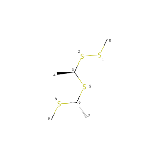 CSS[C@H](C)S[C@H](C)SC